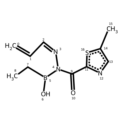 C=C/C=N\N(B(O)CC)C(=O)c1ncc(C)s1